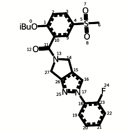 CC(C)COc1ccc(S(C)(=O)=O)cc1C(=O)N1Cc2cn(-c3ccccc3F)nc2C1